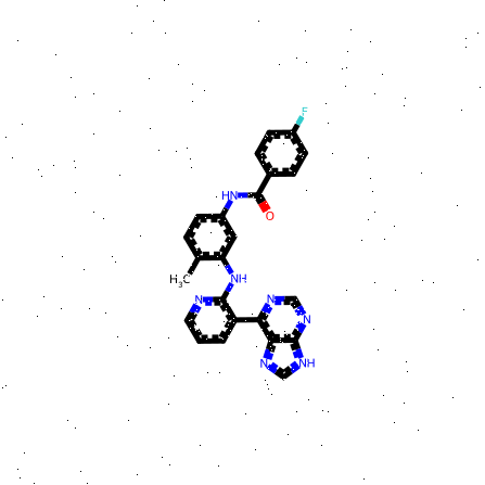 Cc1ccc(NC(=O)c2ccc(F)cc2)cc1Nc1ncccc1-c1ncnc2[nH]cnc12